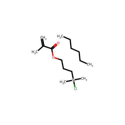 C=C(C)C(=O)OCCC[Si](C)(C)Cl.CCCCCC